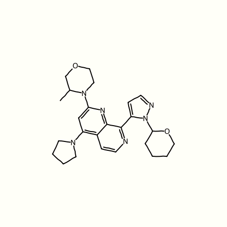 CC1COCCN1c1cc(N2CCCC2)c2ccnc(-c3ccnn3C3CCCCO3)c2n1